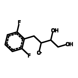 [O]C(Cc1c(F)cccc1F)C(O)CO